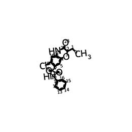 CCC1Oc2cc(S(=O)(=O)Nc3ccccc3)c(Cl)cc2NC1=O